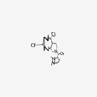 Cn1nccc1C(=O)N1CCc2c(Cl)nc(Cl)nc2C1